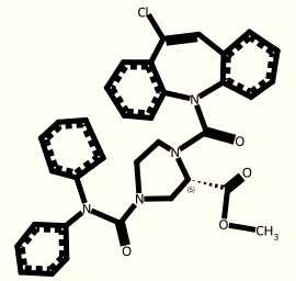 COC(=O)[C@@H]1CN(C(=O)N(c2ccccc2)c2ccccc2)CCN1C(=O)N1c2ccccc2C=C(Cl)c2ccccc21